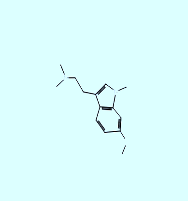 COc1ccc2c(CCN(C)C)cn(C)c2c1